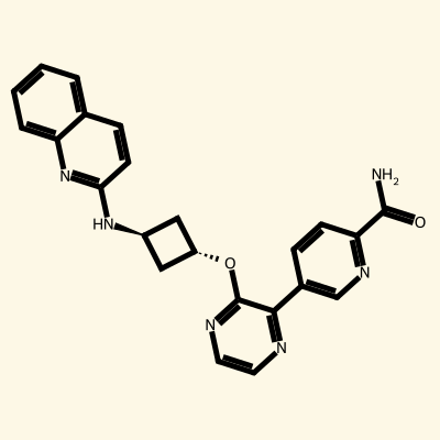 NC(=O)c1ccc(-c2nccnc2O[C@H]2C[C@H](Nc3ccc4ccccc4n3)C2)cn1